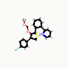 CCOCOc1c(-c2ccc(F)cc2)csc1-c1ccccc1-c1ccccn1